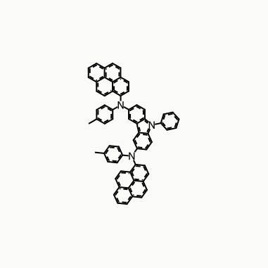 Cc1ccc(N(c2ccc3c(c2)c2cc(N(c4ccc(C)cc4)c4ccc5ccc6cccc7ccc4c5c67)ccc2n3-c2ccccc2)c2ccc3ccc4cccc5ccc2c3c45)cc1